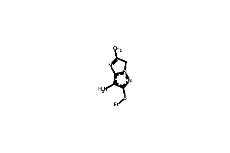 CCSc1nn2c(c1N)N=C(C)C2